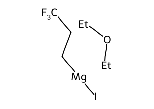 CCOCC.FC(F)(F)C[CH2][Mg][I]